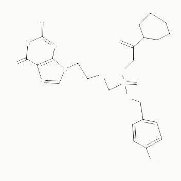 Cc1ccc(COP(=O)(COCCn2cnc3c(=O)[nH]c(N)nc32)OCC(=O)C2CCCCC2)cc1